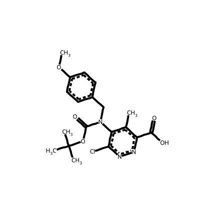 COc1ccc(CN(C(=O)OC(C)(C)C)c2c(Cl)nnc(C(=O)O)c2C)cc1